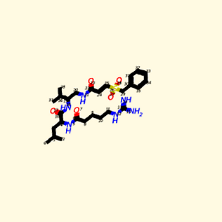 CC(C)CC(NC(=O)CCCCNC(=N)N)C(=O)NC(CNC(=O)/C=C/S(=O)(=O)Cc1ccccc1)C(C)C